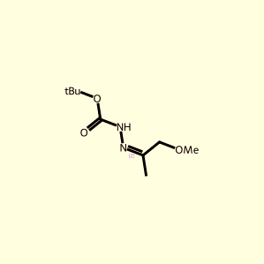 COC/C(C)=N\NC(=O)OC(C)(C)C